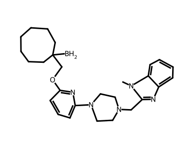 BC1(COc2cccc(N3CCN(Cc4nc5ccccc5n4C)CC3)n2)CCCCCCC1